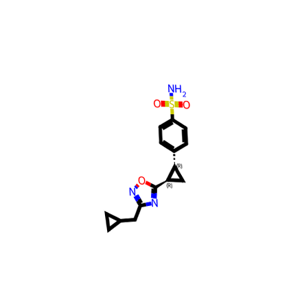 NS(=O)(=O)c1ccc([C@@H]2C[C@H]2c2nc(CC3CC3)no2)cc1